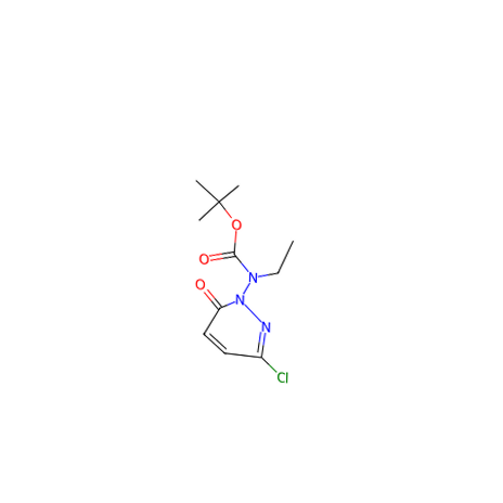 CCN(C(=O)OC(C)(C)C)n1nc(Cl)ccc1=O